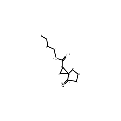 CCCCOC(=O)C1CC12CCCC2=O